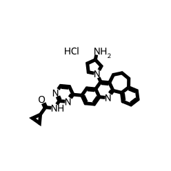 Cl.NC1CCN(c2c3c(nc4ccc(-c5ccnc(NC(=O)C6CC6)n5)cc24)-c2ccccc2CCC3)C1